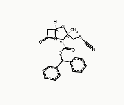 C[C@@]1(CSC#N)S[C@@H]2CC(=O)N2[C@H]1C(=O)OC(c1ccccc1)c1ccccc1